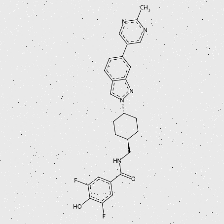 Cc1ncc(-c2ccc3cn([C@H]4CC[C@H](CNC(=O)c5cc(F)c(O)c(F)c5)CC4)nc3c2)cn1